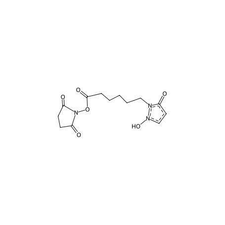 O=C(CCCCCn1c(=O)ccn1O)ON1C(=O)CCC1=O